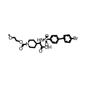 COCCOC(=O)N1CCC(C(NS(=O)(=O)c2ccc(-c3ccc(Br)cc3)cc2)C(=O)O)CC1